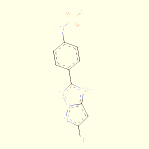 CC(C)(C)c1cc2[nH]c(-c3ccc(NS(C)(=O)=O)cc3)nn2n1